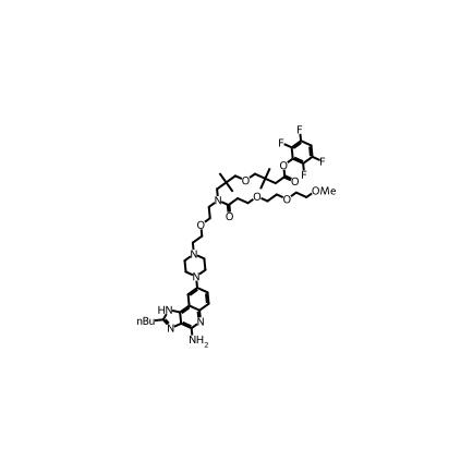 CCCCc1nc2c(N)nc3ccc(N4CCN(CCOCCN(CC(C)(C)COCC(C)(C)CC(=O)Oc5c(F)c(F)cc(F)c5F)C(=O)CCOCCOCCOC)CC4)cc3c2[nH]1